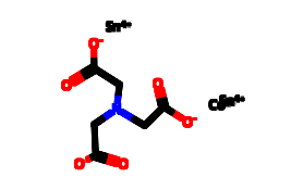 O=C([O-])CN(CC(=O)[O-])CC(=O)[O-].[Co+2].[Sn+4].[Sn+4]